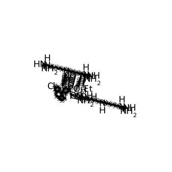 CC(=O)O.CC(=O)O.CC(=O)O.CC(=O)O.CC(=O)O.CC(=O)O.CC(=O)O.CC(=O)O.CC(=O)O.CCOC(=O)N1CCC(=C2c3ccc(Cl)cc3CCc3cccnc32)CC1.N=C(N)NCCCCCCCCNCCCCCCCCNC(=N)N.N=C(N)NCCCCCCCCNCCCCCCCCNC(=N)N